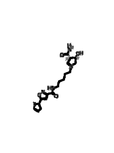 NC(=O)[C@H]1CN(CCCCCNC(=O)c2cc(-c3cccs3)on2)C[C@H]1O